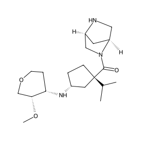 CO[C@@H]1COCC[C@@H]1N[C@@H]1CC[C@@](C(=O)N2C[C@@H]3C[C@H]2CN3)(C(C)C)C1